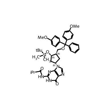 COc1ccc(C(OC[C@H]2C[C@H](n3cnc4c(=O)[nH]c(NC(=O)C(C)C)nc43)[CH][C@H]2O[Si](C)(C)C(C)(C)C)(c2ccccc2)c2ccc(OC)cc2)cc1